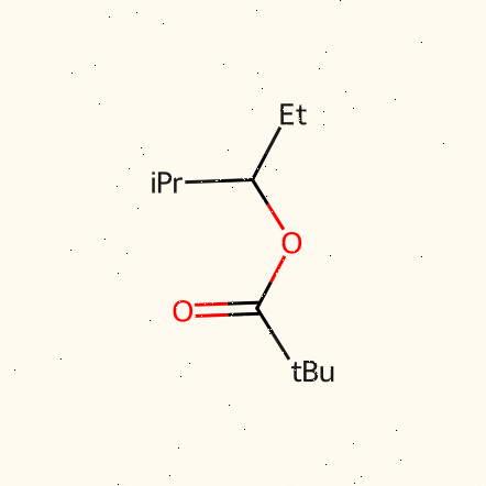 CCC(OC(=O)C(C)(C)C)C(C)C